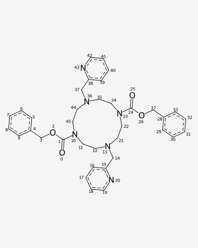 O=C(OCc1ccccc1)N1CCN(Cc2ccccn2)CCN(C(=O)OCc2ccccc2)CCN(Cc2ccccn2)CC1